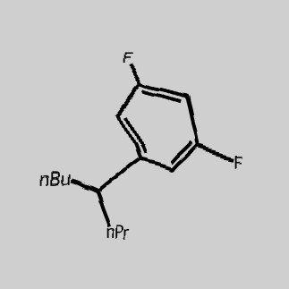 CCCCC(CCC)c1cc(F)cc(F)c1